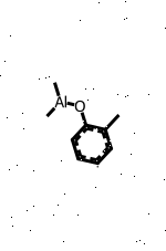 Cc1c[c]ccc1[O][Al]([CH3])[CH3]